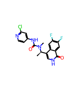 C[C@H](c1c[nH]c(=O)c2cc(F)c(F)cc12)N(C)C(=O)Nc1ccnc(Cl)c1